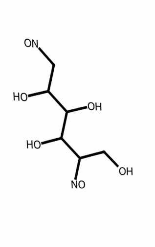 O=NCC(O)C(O)C(O)C(CO)N=O